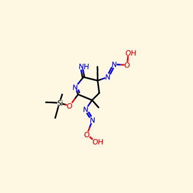 CC1(/N=N/OO)CC(C)(/N=N/OO)C(O[Si](C)(C)C)=NC1=N